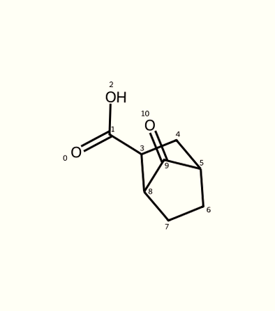 O=C(O)C1CC2CCC1C2=O